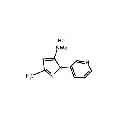 CNc1cc(C(F)(F)F)nn1-c1cccnc1.Cl